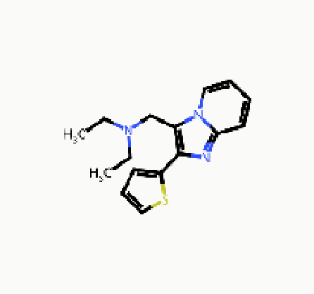 CCN(CC)Cc1c(-c2cccs2)nc2ccccn12